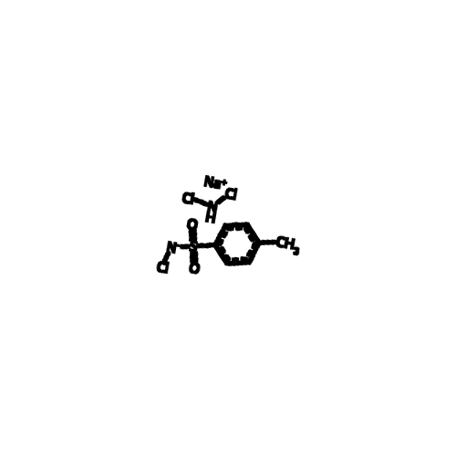 Cc1ccc(S(=O)(=O)[N-]Cl)cc1.ClNCl.[Na+]